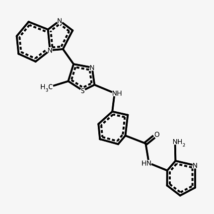 Cc1sc(Nc2cccc(C(=O)Nc3cccnc3N)c2)nc1-c1cnc2ccccn12